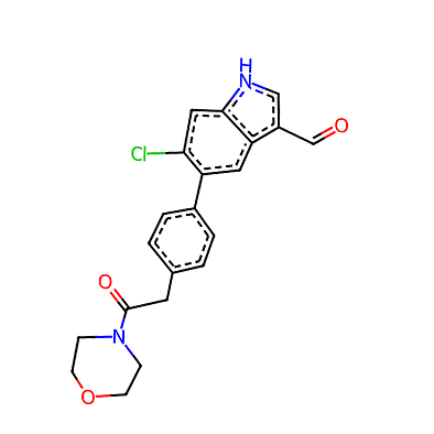 O=Cc1c[nH]c2cc(Cl)c(-c3ccc(CC(=O)N4CCOCC4)cc3)cc12